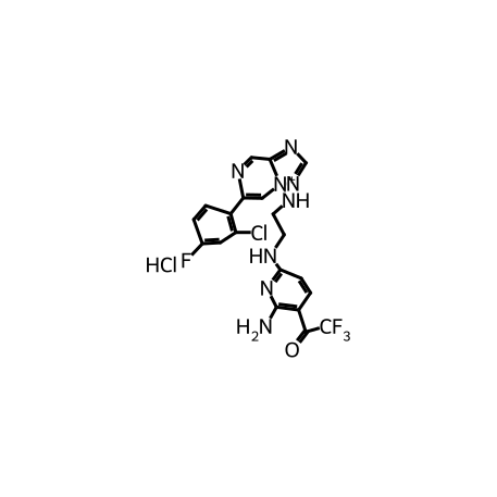 Cl.Nc1nc(NCCN[N+]23C=C(c4ccc(F)cc4Cl)N=CC2=NC=N3)ccc1C(=O)C(F)(F)F